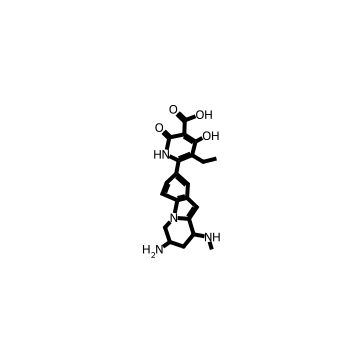 CCc1c(-c2ccc3c(c2)cc2n3CC(N)CC2NC)[nH]c(=O)c(C(=O)O)c1O